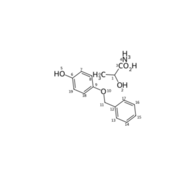 CC(O)C(=O)O.N.Oc1ccc(OCc2ccccc2)cc1